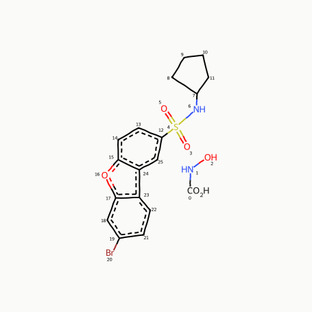 O=C(O)NO.O=S(=O)(NC1CCCC1)c1ccc2oc3cc(Br)ccc3c2c1